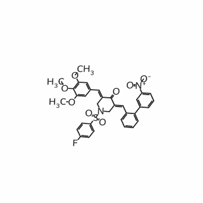 COc1cc(C=C2CN(S(=O)(=O)c3ccc(F)cc3)CC(=Cc3ccccc3-c3cccc([N+](=O)[O-])c3)C2=O)cc(OC)c1OC